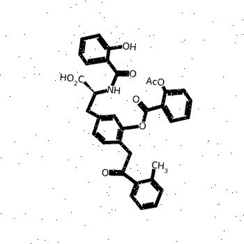 CC(=O)Oc1ccccc1C(=O)Oc1cc(C[C@H](NC(=O)c2ccccc2O)C(=O)O)ccc1CC(=O)c1ccccc1C